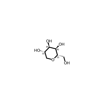 OC[C@@H]1OC[C@H](O)[C@@H](O)[C@H]1O